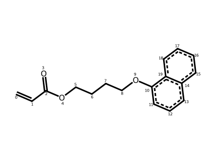 C=CC(=O)OCCCCOc1cccc2ccccc12